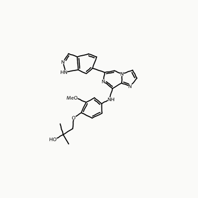 COc1cc(Nc2nc(-c3ccc4cn[nH]c4c3)cn3ccnc23)ccc1OCC(C)(C)O